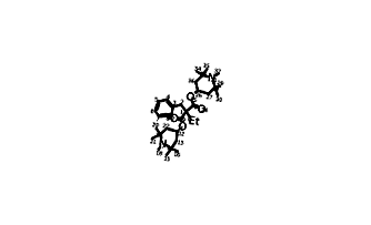 CCC(Cc1ccccc1)(C(=O)OC1CC(C)(C)N(C)C(C)(C)C1)C(=O)OC1CC(C)(C)N(C)C(C)(C)C1